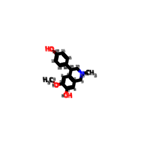 COc1cc2c(cc1O)CN(C)CC2c1ccc(O)cc1